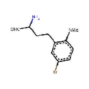 CNc1ccc(Br)cc1CCC(N)C=O